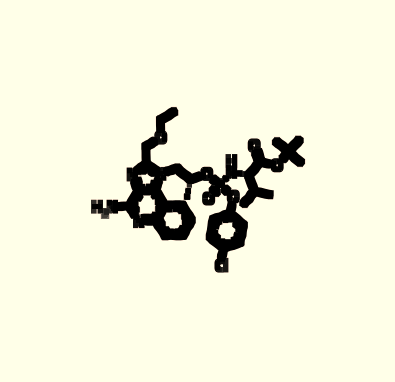 CCOCc1nc2c(N)nc3ccccc3c2n1C[C@@H](C)O[P@@](=O)(N[C@H](C(=O)OC(C)(C)C)C(C)C)Oc1ccc(Cl)cc1